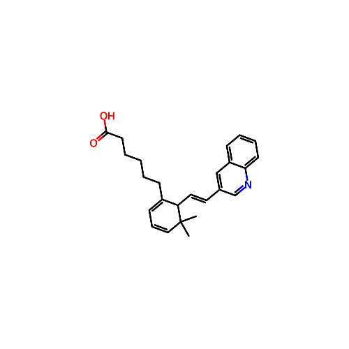 CC1(C)C=CC=C(CCCCCC(=O)O)C1C=Cc1cnc2ccccc2c1